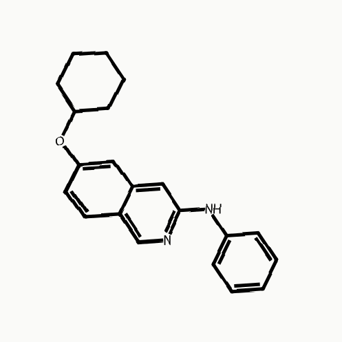 c1ccc(Nc2cc3cc(OC4CCCCC4)ccc3cn2)cc1